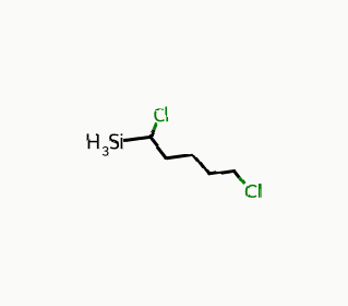 [SiH3]C(Cl)CCCCCl